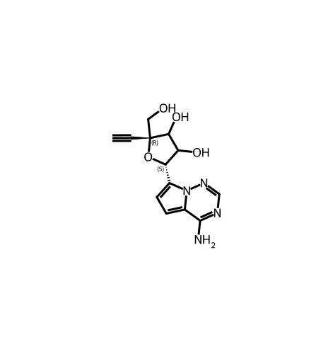 C#C[C@]1(CO)O[C@@H](c2ccc3c(N)ncnn23)C(O)C1O